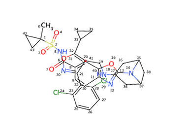 CC1(S(=O)(=O)NC(=O)c2ccc3nc(N4C5CC(NCc6c(-c7c(Cl)cccc7Cl)noc6C6CC6)CC4C5)oc3c2)CC1